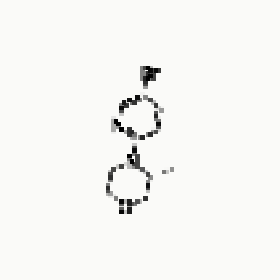 C[C@@H]1COCCN1c1ccc(Br)cn1